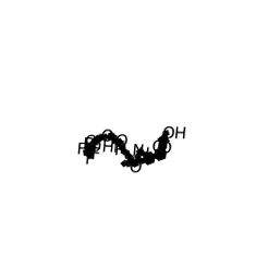 CCCN(CCCCCNC(=O)CCC(C)(C)OCCC(C)(C)C(=O)Oc1c(F)c(F)cc(F)c1F)C(=O)C1=Cc2ccc(-c3cccc(S(=O)(=O)N4CC(CO)C4)c3)cc2N=C(N)C1